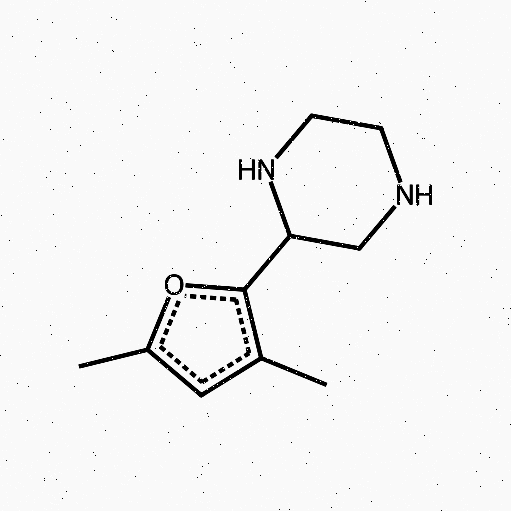 Cc1cc(C)c(C2CNCCN2)o1